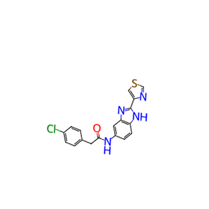 O=C(Cc1ccc(Cl)cc1)Nc1ccc2[nH]c(-c3cscn3)nc2c1